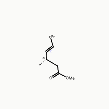 CCC/C=C/[C@@H](C)CC(=O)OC